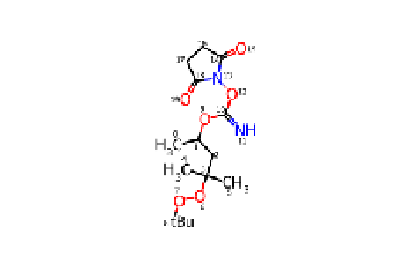 CC(CC(C)(C)OOC(C)(C)C)OC(=N)ON1C(=O)CCC1=O